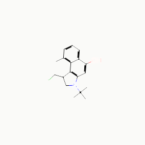 Cc1cccc2c(O)cc3c(c12)C(CCl)[C@@H](C)N3C(C)(C)C